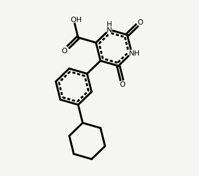 O=C(O)c1[nH]c(=O)[nH]c(=O)c1-c1cccc(C2CCCCC2)c1